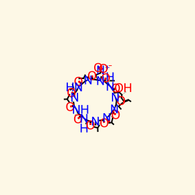 C/C=C/C[C@@H](C)[C@@H](O)[C@H]1C(=O)N[C@@H](CC)C(=O)N(C)[C@H](CC[N+](=O)[O-])C(=O)N(C)[C@@H](C(C)C)C(=O)N[C@@H](C(C)C)C(=O)N(C)[C@@H](CC(C)C)C(=O)N[C@@H](C)C(=O)N[C@H](C)C(=O)N(C)[C@@H](CC(C)C)C(=O)N(C)[C@@H](CC(C)C)C(=O)N(C)[C@@H](C(C)C)C(=O)N1C